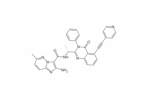 Cc1ccc2nc(N)c(C(=O)N[C@H](C)c3nc4cccc(C#Cc5ccncc5)c4c(=O)n3-c3ccccc3)n2n1